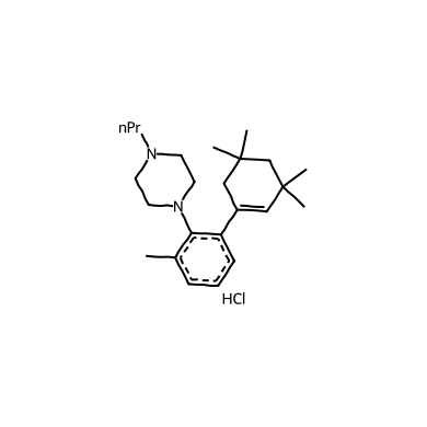 CCCN1CCN(c2c(C)cccc2C2=CC(C)(C)CC(C)(C)C2)CC1.Cl